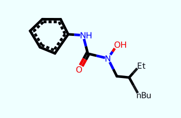 CCCCC(CC)CN(O)C(=O)Nc1ccccc1